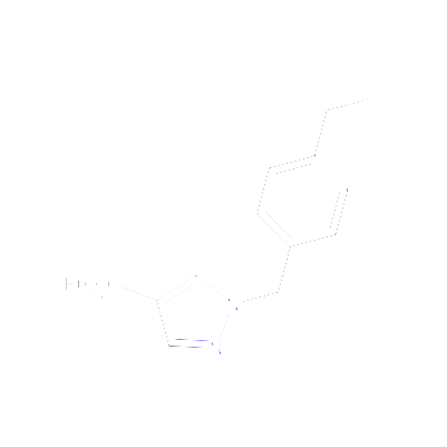 CCOC(=O)c1cnn(Cc2ccc(CCl)cc2)c1